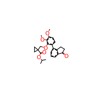 COc1ccc(-c2cccc3c2CCC3=O)c(OCC2(C(=O)OC(C)C)CC2)c1OC